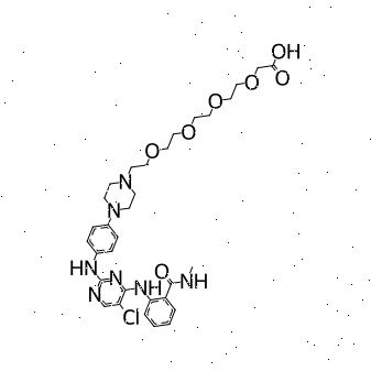 CNC(=O)c1ccccc1Nc1nc(Nc2ccc(N3CCN(CCOCCOCCOCCOCC(=O)O)CC3)cc2)ncc1Cl